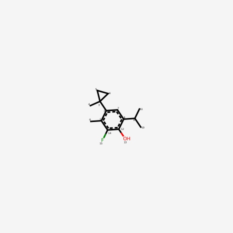 Cc1c(C2(C)CC2)cc(C(C)C)c(O)c1F